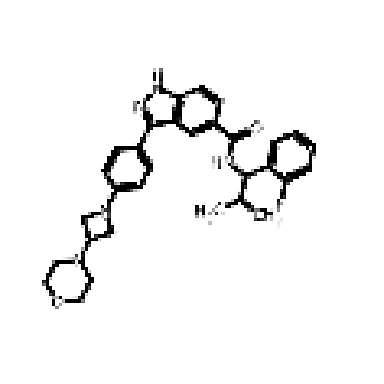 CC(C)C(NC(=O)c1ccc2[nH]nc(-c3ccc(N4CC(N5CCOCC5)C4)cc3)c2c1)c1ccccc1F